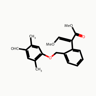 CO/C=C(/C(=O)OC)c1ccccc1COc1cc(C)c(C=O)cc1C